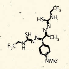 CNc1ccc(C(=N\N=C(/S)NCC(F)(F)F)/C(C)=N/N=C(\S)NCC(F)(F)F)cc1